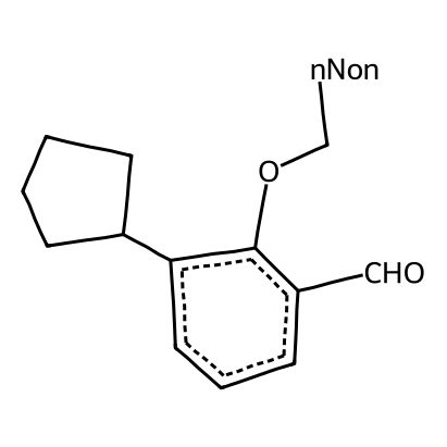 CCCCCCCCCCOc1c(C=O)cccc1C1CCCC1